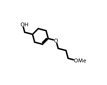 COCCCOC1=CCC(CO)CC1